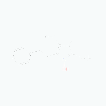 CCOC(=O)c1c(C)c(C=O)c(CCc2ccccc2)n1O